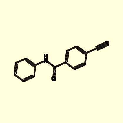 N#Cc1ccc(C(=O)Nc2ccccc2)cc1